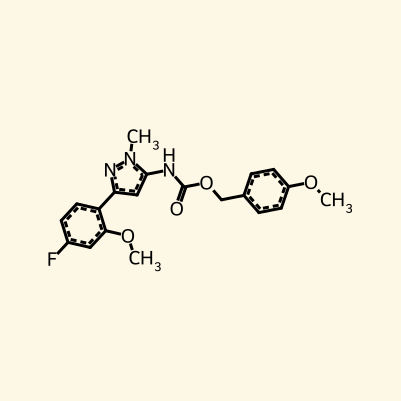 COc1ccc(COC(=O)Nc2cc(-c3ccc(F)cc3OC)nn2C)cc1